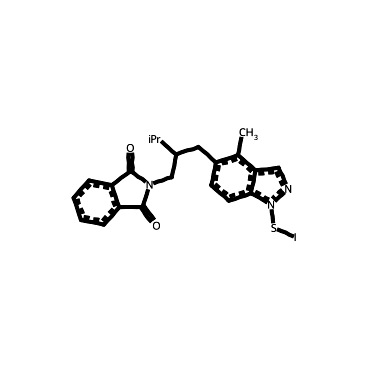 Cc1c(CC(CN2C(=O)c3ccccc3C2=O)C(C)C)ccc2c1cnn2SI